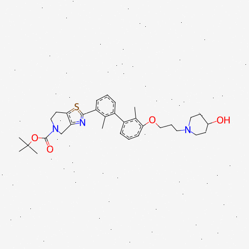 Cc1c(OCCCN2CCC(O)CC2)cccc1-c1cccc(-c2nc3c(s2)CCN(C(=O)OC(C)(C)C)C3)c1C